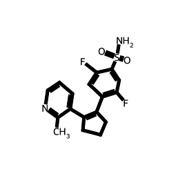 Cc1ncccc1C1=C(c2cc(F)c(S(N)(=O)=O)cc2F)CCC1